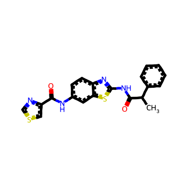 CC(C(=O)Nc1nc2ccc(NC(=O)c3cscn3)cc2s1)c1ccccc1